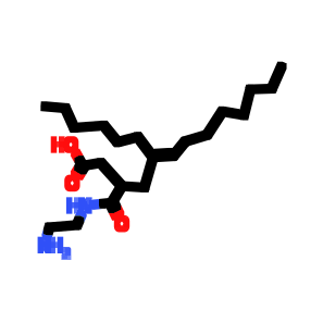 CCCCCCC/C=C(\CCCCCC)CC(CC(=O)O)C(=O)NCCN